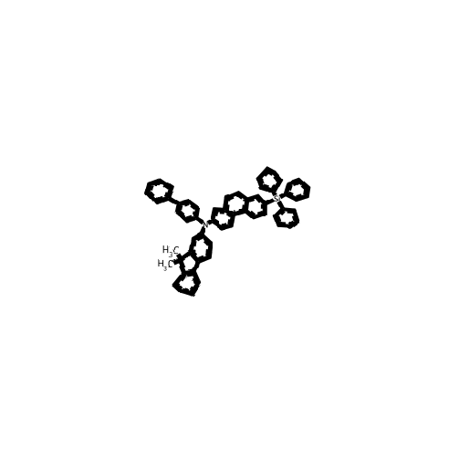 CC1(C)c2ccccc2-c2ccc(N(c3ccc(-c4ccccc4)cc3)c3ccc4c(ccc5cc([Si](c6ccccc6)(c6ccccc6)c6ccccc6)ccc54)c3)cc21